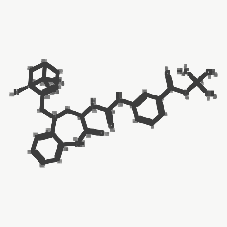 CC(C)(C)OC(=O)c1cccc(NC(=O)NC2CN(CC3=CCC4C[C@H]3C4(C)C)c3ccccc3NC2=O)c1